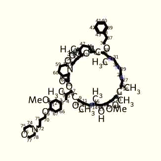 CO[C@@H]1C[C@H](C[C@@H](C)[C@@H]2CC(=O)[C@H](C)/C=C(\C)[C@@H](O)[C@@H](OC)C(=O)[C@H](C)C[C@H](C)/C=C/C=C/C=C(\C)C(OCCc3ccccc3)C[C@@H]3CC[C@@H](C)[C@@](O)(O3)C(=O)C(=O)N3CCCCC3C(=O)O2)CC[C@H]1OCCCN1CCOCC1